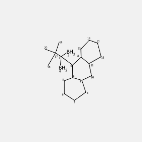 BC(B)(C1C2CCCCC2CC2CCCCC21)C(C)(C)C